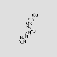 CC(C)(C)[C@H]1CC[C@]2(CC1)CC(C(=O)N1CCN(c3ncccn3)CC1)=NO2